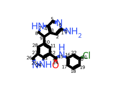 Nc1cc2c(cn1)NCC2c1cc(C(=O)Nc2cccc(Cl)c2)c2[nH]ncc2c1